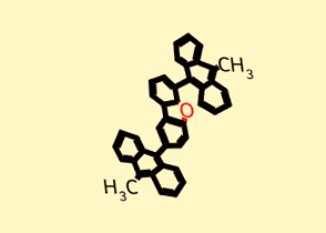 Cc1c2ccccc2c(C2=CC=CC3c4cc(-c5c6ccccc6c(C)c6ccccc56)ccc4OC23)c2ccccc12